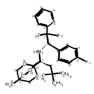 CC(C)(C)C[C@H](N[C@@H](c1ccc(F)cc1)C(F)(F)c1ccccn1)C12OCC(C)(CO1)CO2